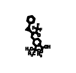 CC(C)(C)C1CC(CN(C(=O)C(F)(F)F)C2CC2c2ccccc2)CCN1C(=O)O